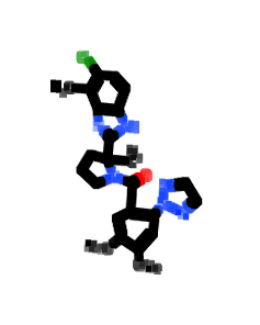 COc1cc(C(=O)N2CCCC2(C)c2nc3c(C)c(Cl)ccc3[nH]2)c(-n2nccn2)cc1OC